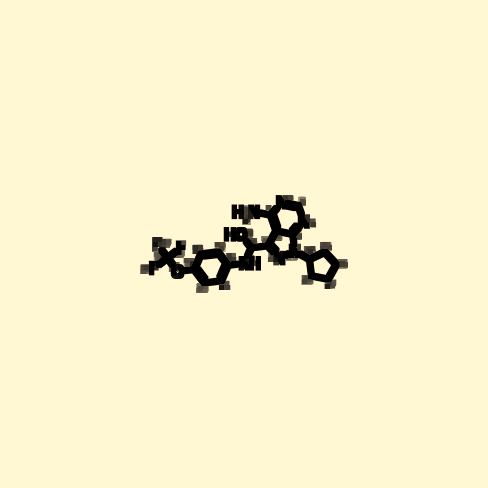 Nc1ncnc2c1c(C(O)Nc1ccc(OC(F)(F)F)cc1)nn2C1CCCC1